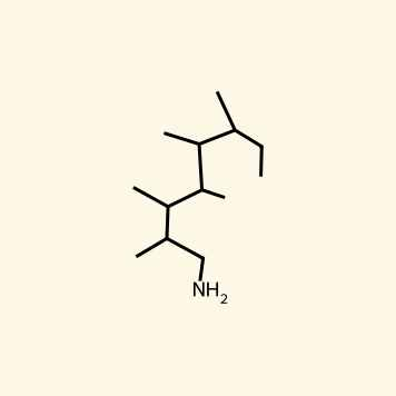 CCC(C)C(C)C(C)C(C)C(C)CN